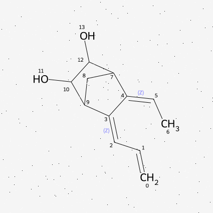 C=C/C=C1\C(=C/C)C2CC1C(O)C2O